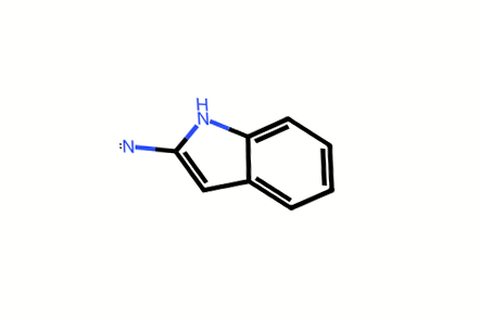 [N]c1cc2ccccc2[nH]1